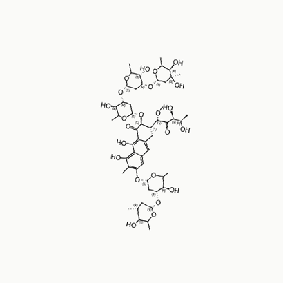 CO[C@H](C(=O)[C@@H](O)[C@@H](C)O)[C@@H]1Cc2cc3cc(O[C@H]4C[C@@H](O[C@H]5C[C@@H](C)[C@H](O)C(C)O5)[C@H](O)C(C)O4)c(C)c(O)c3c(O)c2C(=O)[C@H]1O[C@H]1C[C@@H](O[C@H]2C[C@@H](O[C@H]3C[C@](C)(O)[C@H](O)C(C)O3)[C@@H](O)C(C)O2)[C@H](O)C(C)O1